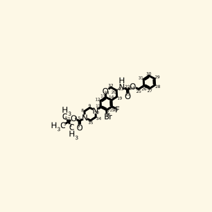 CC(C)(C)OC(=O)N1CCN(c2cc3c(c(F)c2Br)C[C@@H](NC(=O)OCc2ccccc2)CO3)CC1